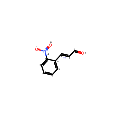 O=C/C=C/c1ccccc1[N+](=O)[O-]